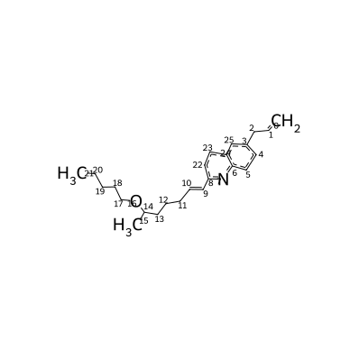 C=CCc1ccc2nc(/C=C/CCCC(C)OCCCCC)ccc2c1